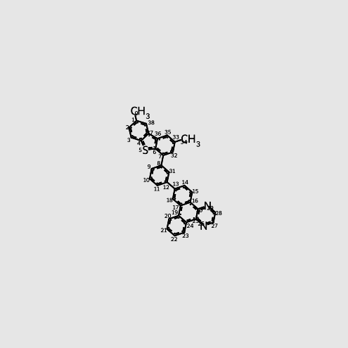 Cc1ccc2sc3c(-c4cccc(-c5ccc6c(c5)c5ccccc5c5nccnc65)c4)cc(C)cc3c2c1